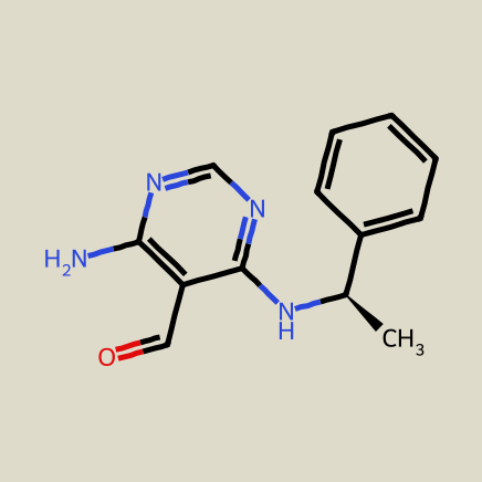 C[C@@H](Nc1ncnc(N)c1C=O)c1ccccc1